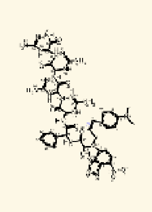 CN(C)c1ccc(/C=C\CN(c2ccc([N+](=O)[O-])c3nonc23)C(O)C(=O)NC(C(=O)NC(NC(=N)N)C(=O)NC(NC(=N)N)C(=O)NC(NC(=N)N)C(=O)NC(NC(=N)N)C(N)=O)c2ccccc2)cc1